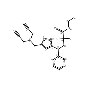 C#CCN(CC#C)Cc1cn(C(CC(C)(C)C(=O)OCC)c2ccccc2)nn1